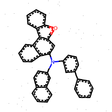 c1ccc(-c2cccc(N(c3ccc4ccccc4c3)c3cc4oc5ccccc5c4c4ccccc34)c2)cc1